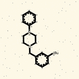 CC(C)(C)c1cccc(CN2CCN(c3ccccc3)CC2)c1